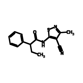 CCC(C(=O)Nc1snc(C)c1C#N)c1ccccc1